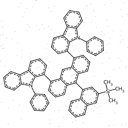 C[Si](C)(C)c1cc(-c2c3cccc(-c4cccc5c6ccccc6n(-c6ccccc6)c45)c3cc3c(-c4cccc5c6ccccc6n(-c6ccccc6)c45)cccc23)c2ccccc2c1